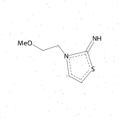 COCCn1[c]csc1=N